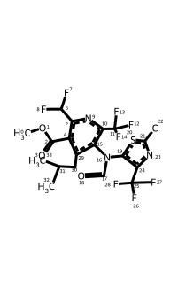 COC(=O)c1c(C(F)F)nc(C(F)(F)F)c(N(C=O)c2sc(Cl)nc2C(F)(F)F)c1CC(C)C